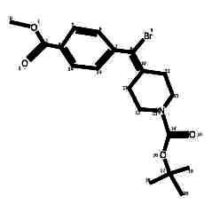 COC(=O)c1ccc(C(Br)=C2CCN(C(=O)OC(C)(C)C)CC2)cc1